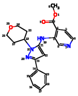 COC(=O)c1ccncc1Nc1cc(-c2ccccc2)nn1C1CCOCC1